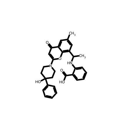 Cc1cc(C(C)Nc2ccccc2C(=O)O)c2oc(N3CCC(O)(c4ccccc4)CC3)cc(=O)c2c1